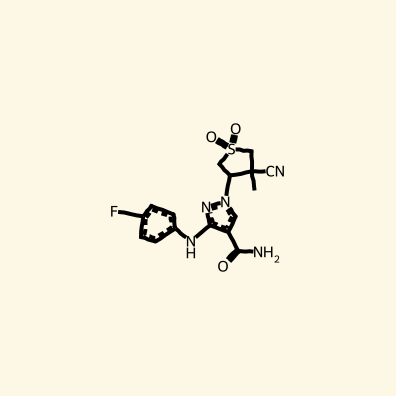 CC1(C#N)CS(=O)(=O)CC1n1cc(C(N)=O)c(Nc2ccc(F)cc2)n1